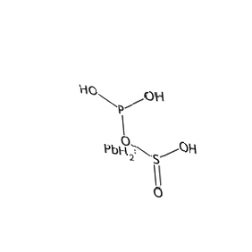 O=S(O)OP(O)O.[PbH2]